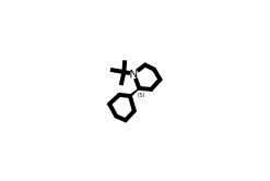 CC(C)(C)N1CCCC[C@H]1C1CCCCC1